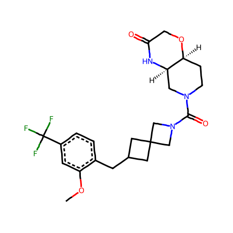 COc1cc(C(F)(F)F)ccc1CC1CC2(C1)CN(C(=O)N1CC[C@@H]3OCC(=O)N[C@@H]3C1)C2